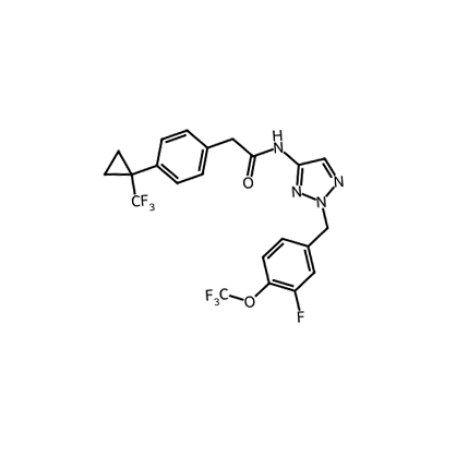 O=C(Cc1ccc(C2(C(F)(F)F)CC2)cc1)Nc1cnn(Cc2ccc(OC(F)(F)F)c(F)c2)n1